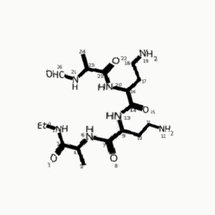 CCNC(=O)C(C)NC(=O)C(CCN)NC(=O)C(CCN)NC(=O)C(C)NC=O